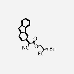 CCCCC(CC)COC(=O)/C(C#N)=c1/ccc2c(c1)-c1ccccc1C=2